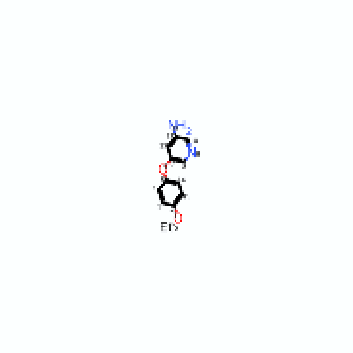 CCOc1ccc(Oc2cncc(N)c2)cc1